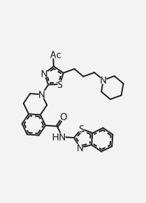 CC(=O)c1nc(N2CCc3cccc(C(=O)Nc4nc5ccccc5s4)c3C2)sc1CCCN1CCCCC1